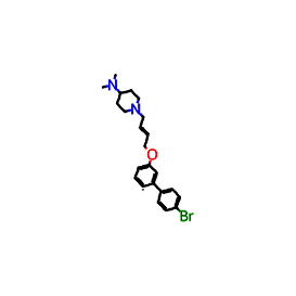 CN(C)C1CCN(C/C=C/COc2cc[c]c(-c3ccc(Br)cc3)c2)CC1